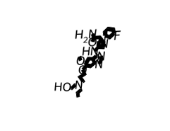 CCCN(CCO)CCCOc1cc2ncnc(NC3=C[N+](CC(N)=O)(c4cccc(F)c4)N=C3)c2cc1OC